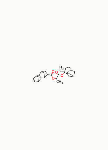 CC(OC(=O)C1CC2CC1C1C3C=CC(C3)C21)C(=O)OC1(C)C2CC3CC(C2)CC1C3